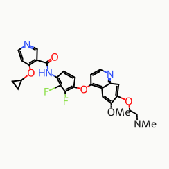 CNCCOc1cc2nccc(Oc3ccc(NC(=O)c4cnccc4OC4CC4)c(F)c3F)c2cc1OC